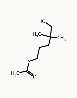 CC(=O)SCCCC(C)(C)CO